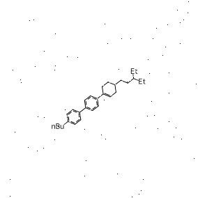 CCCCc1ccc(-c2ccc(C3=CCC(CCC(CC)CC)CC3)cc2)cc1